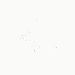 C=CC(=O)OCCCc1ccc(N2c3ccc(C)cc3C(C)(C)c3cc(-c4ccc5c(c4)C(C)(C)c4cc(CCCOC(=O)C=C)ccc4N5c4ccc(C)cc4)ccc32)cc1